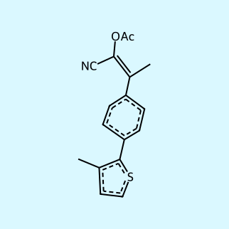 CC(=O)OC(C#N)=C(C)c1ccc(-c2sccc2C)cc1